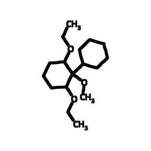 CCOC1CCCC(OCC)C1(OC)C1CCCCC1